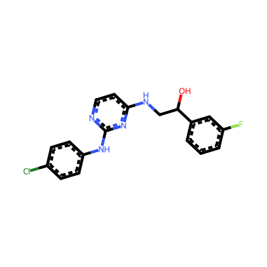 OC(CNc1ccnc(Nc2ccc(Cl)cc2)n1)c1cccc(F)c1